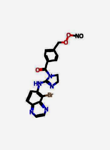 O=NOOCc1ccc(C(=O)N2CCN=C2Nc2ccc3nccnc3c2Br)cc1